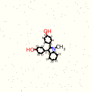 Cn1c(-c2ccc(O)cc2)c(-c2ccc(O)cc2)c2ccccc21